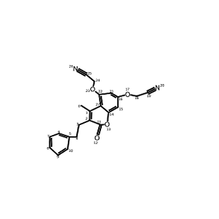 Cc1c(CCc2ccccc2)c(=O)oc2cc(OCC#N)cc(OCC#N)c12